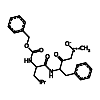 CC(C)CC(NC(=O)OCc1ccccc1)C(=O)NC(Cc1ccccc1)C(=O)C[S@+](C)[O-]